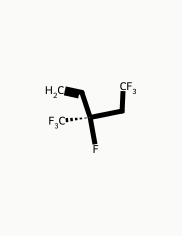 C=C[C@](F)(CC(F)(F)F)C(F)(F)F